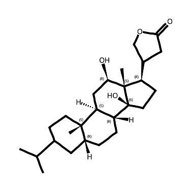 CC(C)C1CC[C@@]2(C)[C@H](CC[C@@H]3[C@@H]2C[C@@H](O)[C@]2(C)[C@@H](C4COC(=O)C4)CC[C@]32O)C1